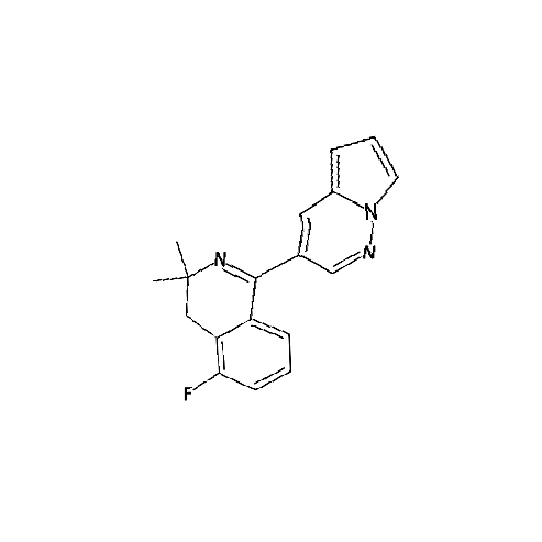 CC1(C)Cc2c(F)cccc2C(c2cnn3cccc3c2)=N1